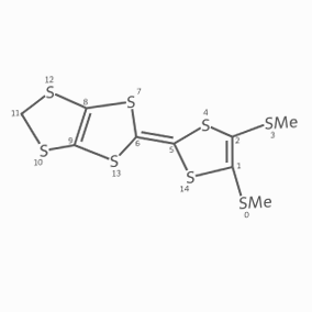 CSC1=C(SC)SC(=C2SC3=C(SCS3)S2)S1